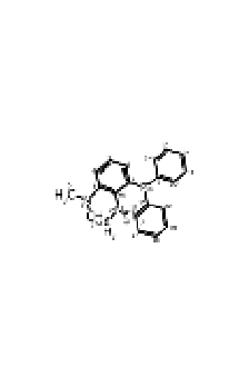 CN(C)c1cccc(P(c2ccccc2)c2ccccc2)c1N(C)C